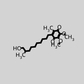 COC1=C(OC)C(=O)C(CCCCCCCCC(C)CO)=C(C)C1=O